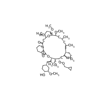 CC[C@@H]1/C=C(\C)C[C@H](C)C[C@H](OC)[C@H]2O[C@@](O)(CC(=O)N3CCCC[C@H]3C(=O)O[C@H](/C(C)=C/[C@@H]3CC[C@@H](O)[C@H](OC)C3)[C@H](C)[C@@H](OOCC3CC3)CC1=N)[C@H](C)C[C@@H]2OC